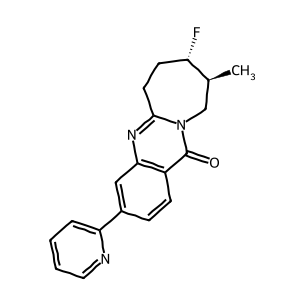 C[C@H]1Cn2c(nc3cc(-c4ccccn4)ccc3c2=O)CC[C@@H]1F